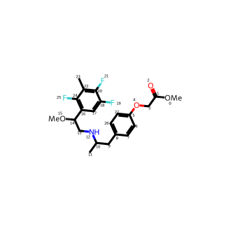 COC(=O)COc1ccc(CC(C)NCC(OC)c2cc(F)c(F)c(C)c2F)cc1